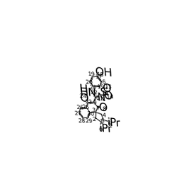 CC(C)CCC1(CCC(C)C)C(=O)C(C2=NS(=O)(=O)c3cc(O)ccc3N2)=C(O)c2ccccc21